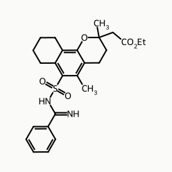 CCOC(=O)CC1(C)CCc2c(C)c(S(=O)(=O)NC(=N)c3ccccc3)c3c(c2O1)CCCC3